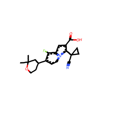 CC1(C)CC(c2ccn3c(C4(C#N)CC4)c(C(=O)O)cc3c2F)CCO1